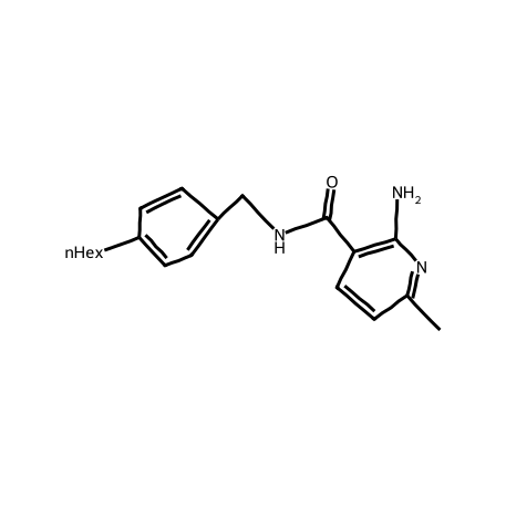 CCCCCCc1ccc(CNC(=O)c2ccc(C)nc2N)cc1